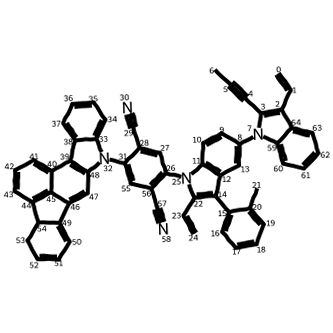 C=Cc1c(C#CC)n(-c2ccc3c(c2)c(-c2ccccc2C)c(C=C)n3-c2cc(C#N)c(-n3c4ccccc4c4c5cccc6c5c(cc43)C3=CC=CCC36)cc2C#N)c2ccccc12